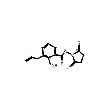 C=CCc1cccc(C(=O)ON2C(=O)CCC2=O)c1C(=O)O